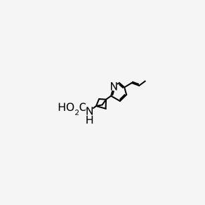 CC=Cc1ccc(C23CC(NC(=O)O)(C2)C3)nc1